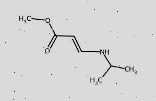 COC(=O)C=CNC(C)C